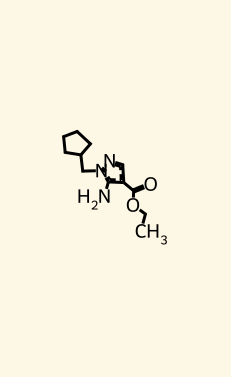 CCOC(=O)c1cnn(CC2CCCC2)c1N